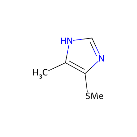 CSc1nc[nH]c1C